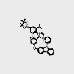 CC(C)c1cc(B2OC(C)(C)C(C)(C)O2)cc(C(C)C)c1-n1ccnc1-c1cccc(Oc2ccc3c4ccccc4n(-c4ccccn4)c3c2)c1